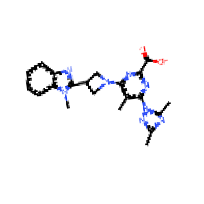 Cc1nc(C)n(-c2nc(C(=O)O)nc(N3CC(c4nc5ccccc5n4C)C3)c2C)n1